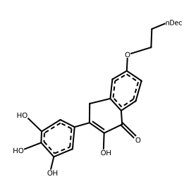 CCCCCCCCCCCCOc1ccc2c(c1)CC(c1cc(O)c(O)c(O)c1)=C(O)C2=O